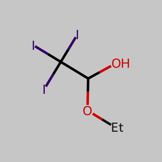 CCOC(O)C(I)(I)I